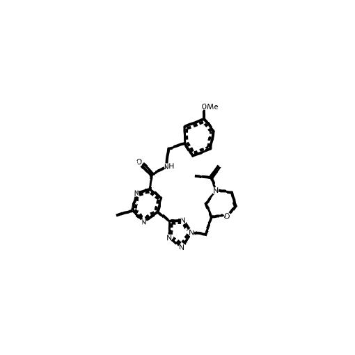 C=C(C)N1CCOC(Cn2nnc(-c3cc(C(=O)NCc4cccc(OC)c4)nc(C)n3)n2)C1